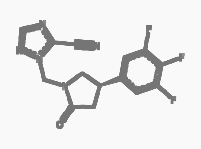 N#Cc1ncnn1CN1C[C@@H](c2cc(F)c(F)c(F)c2)CC1=O